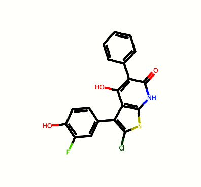 O=c1[nH]c2sc(Cl)c(-c3ccc(O)c(F)c3)c2c(O)c1-c1ccccc1